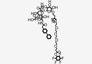 O=C(Cc1ccc(-c2ccccc2)cc1)NC[C@@H](O)[C@@H](O)[C@@H]1O[C@@](OC[C@H]2O[C@@H](OCCc3cn(CCOCCOCCOCCOCCC(=O)Oc4c(F)c(F)c(F)c(F)c4F)nn3)[C@H](O)[C@@H](O)[C@H]2O)(C(=O)O)C[C@H](O)[C@H]1NC(=O)CO